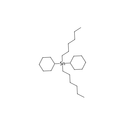 CCCCC[CH2][Sn]([CH2]CCCCC)([CH]1CCCCC1)[CH]1CCCCC1